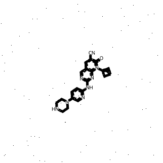 N#Cc1cc2cnc(Nc3ccc(N4CCNCC4)cn3)nc2n(C23CC(C2)C3)c1=O